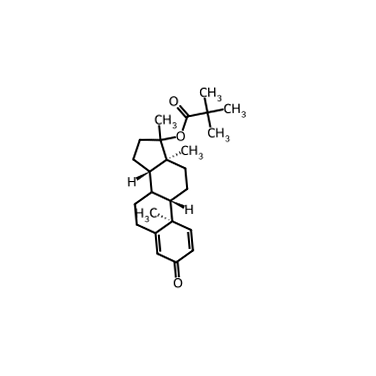 CC(C)(C)C(=O)OC1(C)CC[C@H]2C3CCC4=CC(=O)C=C[C@]4(C)[C@H]3CC[C@@]21C